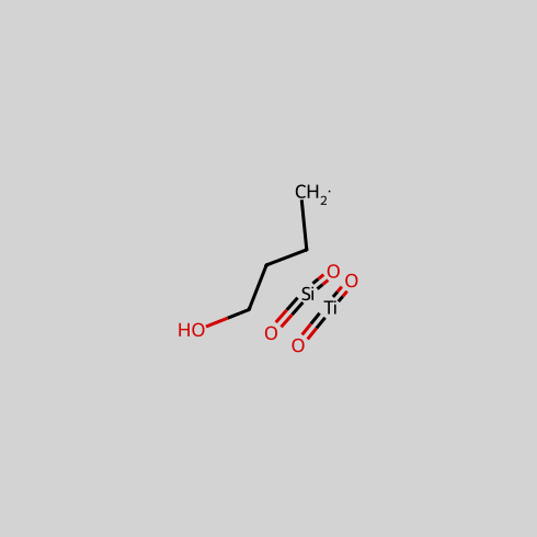 O=[Si]=O.[CH2]CCCO.[O]=[Ti]=[O]